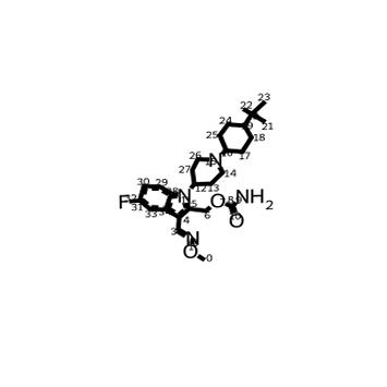 CON=Cc1c(COC(N)=O)n(C2CCN(C3CCC(C(C)(C)C)CC3)CC2)c2ccc(F)cc12